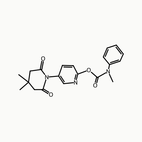 CN(C(=O)Oc1ccc(N2C(=O)CC(C)(C)CC2=O)cn1)c1ccccc1